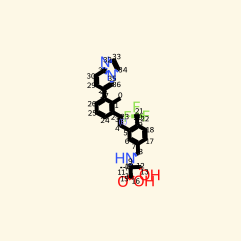 Cc1c(/C=C/c2cc(CN[C@@](C)(CO)C(=O)O)ccc2C(F)(F)F)cccc1-c1ccc2nccn2c1